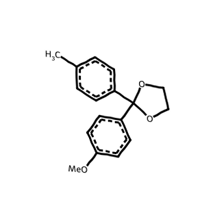 COc1ccc(C2(c3ccc(C)cc3)OCCO2)cc1